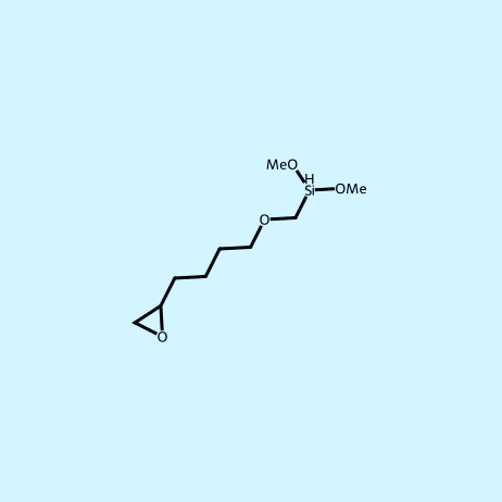 CO[SiH](COCCCCC1CO1)OC